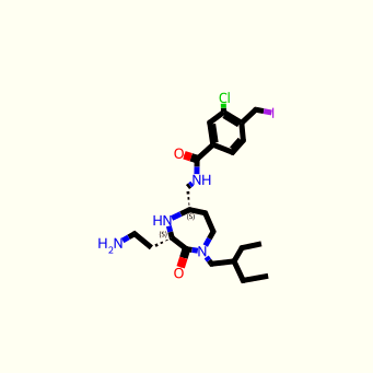 CCC(CC)CN1CC[C@@H](CNC(=O)c2ccc(CI)c(Cl)c2)N[C@@H](CCN)C1=O